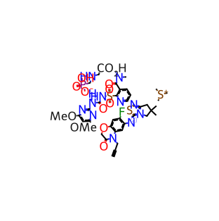 C#CCN1C(=O)COc2cc(F)c(/N=c3\snc4n3CC(C)(C)C4)cc21.COc1cc(OC)nc(NC(=O)NS(=O)(=O)c2ncccc2C(=O)N(C)C)n1.C[S+](C)C.O=C(O)CNCP(=O)([O-])O